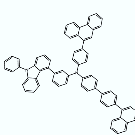 c1ccc(-n2c3ccccc3c3c(-c4cccc(N(c5ccc(-c6ccc(-c7cccc8ccccc78)cc6)cc5)c5ccc(-c6cc7ccccc7c7ccccc67)cc5)c4)cccc32)cc1